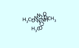 CCOC(=O)c1cnc2nc(OCC)cnc2c1Nc1ccc(OC)cc1